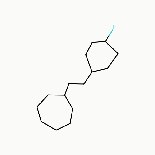 FC1CCC(CCC2CCCCCC2)CC1